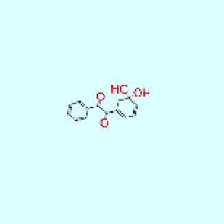 O=C(C(=O)c1ccccc1)C1=CC=CC(O)(O)C1